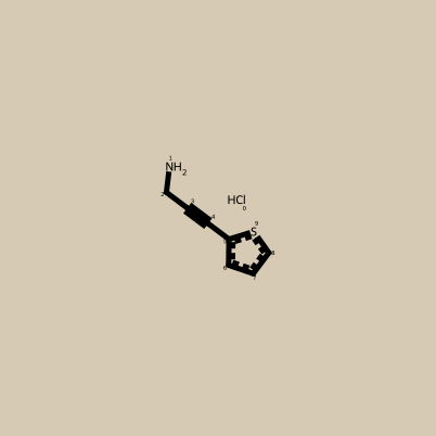 Cl.NCC#Cc1cccs1